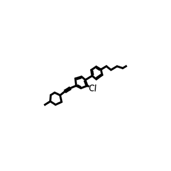 CCCCCc1ccc(-c2ccc(C#CC3CCC(C)CC3)cc2Cl)cc1